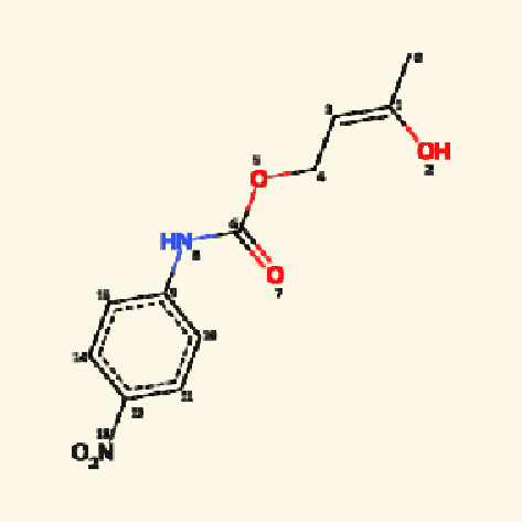 C/C(O)=C/COC(=O)Nc1ccc([N+](=O)[O-])cc1